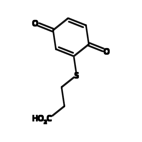 O=C1C=CC(=O)C(SCCC(=O)O)=C1